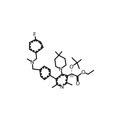 CCOC(=O)[C@@H](OC(C)(C)C)c1c(C)nc(C)c(-c2ccc(CN(C)Cc3ccc(F)cc3)cc2)c1N1CCC(C)(C)CC1